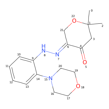 CC1(C)CC(=O)C(=NNc2ccccc2N2CCOCC2)CO1